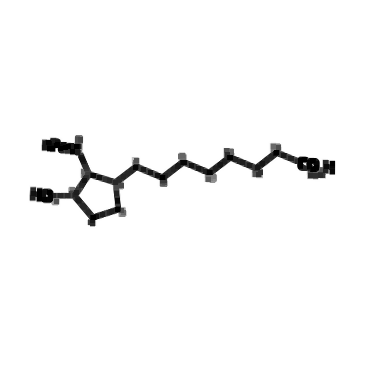 CCCCCC1C(O)CCC1CCCCCCCC(=O)O